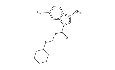 Cc1ccc2c(c1)c(C(=O)OCSC1CCCCC1)cn2C